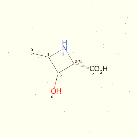 CC1N[C@H](C(=O)O)C1O